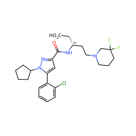 O=C(O)C[C@H](CCN1CCCC(F)(F)C1)NC(=O)c1cc(-c2ccccc2Cl)n(C2CCCC2)n1